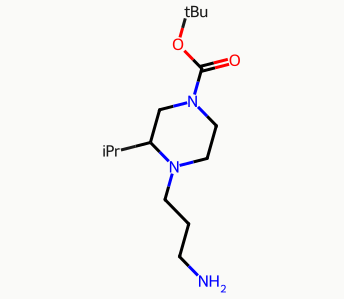 CC(C)C1CN(C(=O)OC(C)(C)C)CCN1CCCN